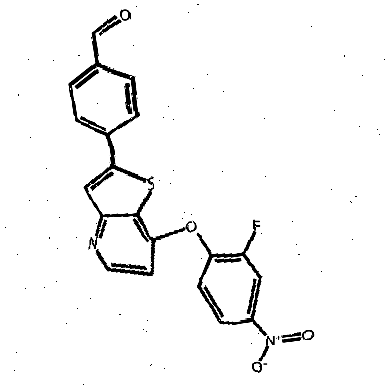 O=Cc1ccc(-c2cc3nccc(Oc4ccc([N+](=O)[O-])cc4F)c3s2)cc1